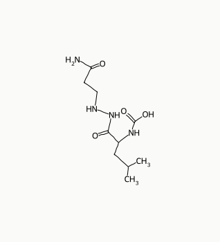 CC(C)CC(NC(=O)O)C(=O)NNCCC(N)=O